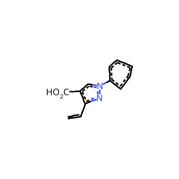 C=Cc1nn(-c2ccccc2)cc1C(=O)O